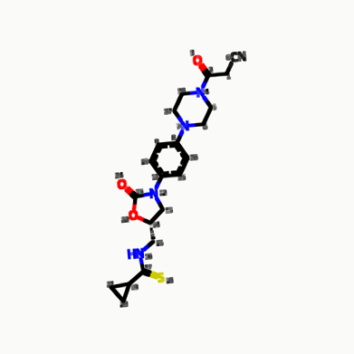 N#CCC(=O)N1CCN(c2ccc(N3C[C@H](CNC(=S)C4CC4)OC3=O)cc2)CC1